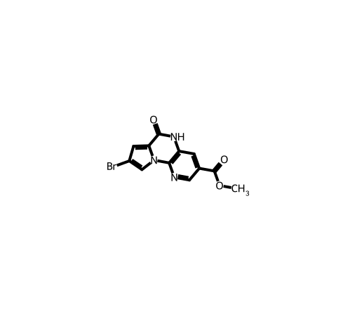 COC(=O)c1cnc2c(c1)[nH]c(=O)c1cc(Br)cn12